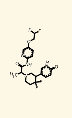 CC(C(=O)Nc1ccc(OCC(F)F)cn1)N1CCC(F)(F)C(c2ccc(=O)[nH]c2)C1